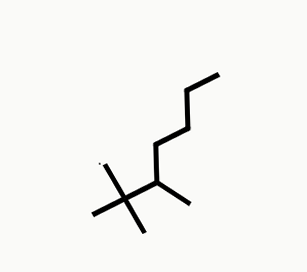 [CH2]C(C)(C)C(C)CCCC